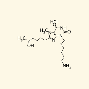 C[C@@H](O)CCCCc1nc2c(c(=O)[nH]c(=O)n2CCCCCCN)n1C.Cl